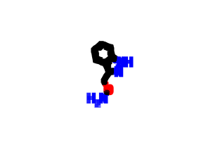 NOCc1n[nH]c2ccccc12